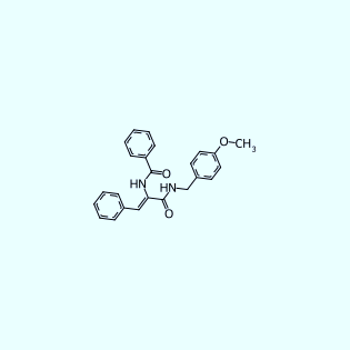 COc1ccc(CNC(=O)/C(=C/c2ccccc2)NC(=O)c2ccccc2)cc1